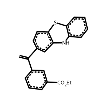 C=C(c1cccc(C(=O)OCC)c1)c1ccc2c(c1)Nc1ccccc1S2